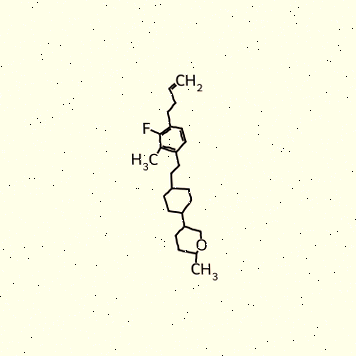 C=CCCc1ccc(CCC2CCC(C3CCC(C)OC3)CC2)c(C)c1F